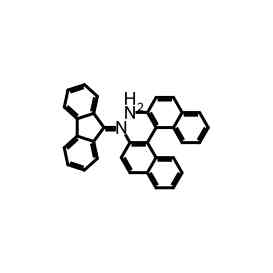 Nc1ccc2ccccc2c1-c1c(N=C2c3ccccc3-c3ccccc32)ccc2ccccc12